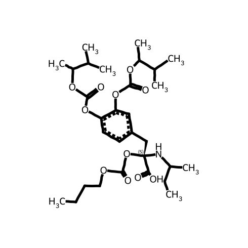 CCCCOC(=O)O[C@](Cc1ccc(OC(=O)OC(C)C(C)C)c(OC(=O)OC(C)C(C)C)c1)(NC(C)CC)C(=O)O